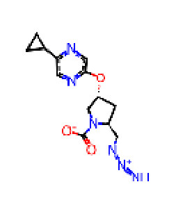 N=[N+]=NC[C@@H]1C[C@@H](Oc2cnc(C3CC3)cn2)CN1C(=O)[O-]